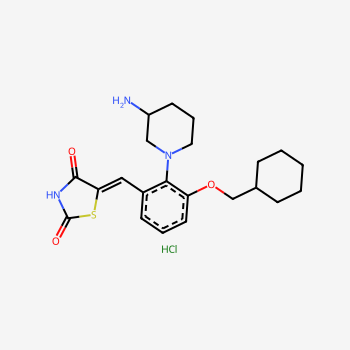 Cl.NC1CCCN(c2c(C=C3SC(=O)NC3=O)cccc2OCC2CCCCC2)C1